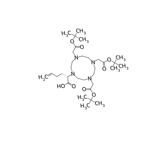 C=CCC[C@@H](C(=O)O)N1CCN(CC(=O)OC(C)(C)C)CCN(CC(=O)OC(C)(C)C)CCN(CC(=O)OC(C)(C)C)CC1